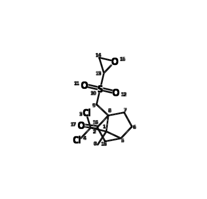 CC1(C(Cl)Cl)C2CCC1(CS(=O)(=O)C1CO1)C(=O)C2